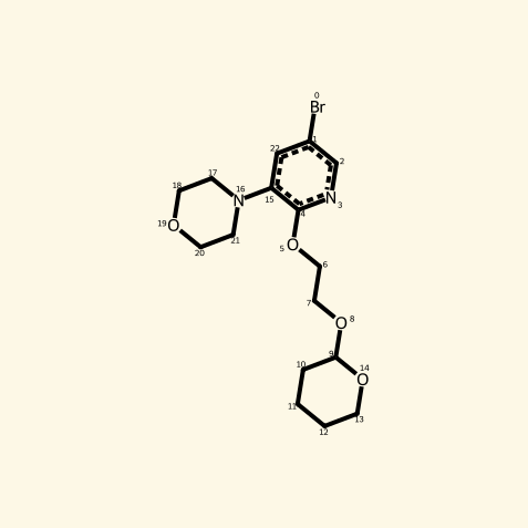 Brc1cnc(OCCOC2CCCCO2)c(N2CCOCC2)c1